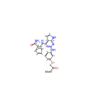 CNC(=O)COc1cccc(Nc2nc(NC3C4C=CC(C4)C3C(N)=O)c3cc[nH]c3n2)c1